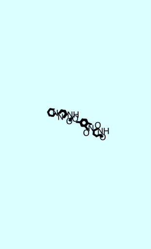 O=C1CCC(N2Cc3ccc(COC(=O)Nc4ccc(N5CCCCC5)nc4)cc3C2=O)C(=O)N1